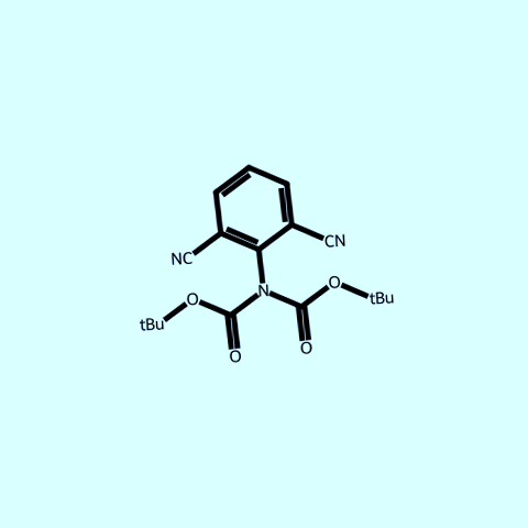 CC(C)(C)OC(=O)N(C(=O)OC(C)(C)C)c1c(C#N)cccc1C#N